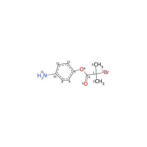 CC(C)(Br)C(=O)Oc1ccc(N)cc1